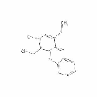 C=Cc1cc(Cl)c(CCl)c2cc3ccccc3cc12